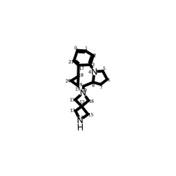 c1ccc(N2CCCC2CN2CC3(CNC3)C2)c(C2CC2)c1